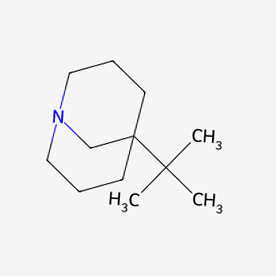 CC(C)(C)C12CCCN(CCC1)C2